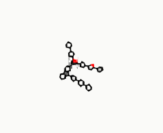 c1ccc(-c2ccc(-c3ccc(-c4nc(-c5ccc(-c6ccccc6)cc5)nc(-c5ccc6c7ccccc7n(-c7ccc(-c8ccc(-c9ccccc9)cc8)cc7)c6c5)n4)cc3)cc2)cc1